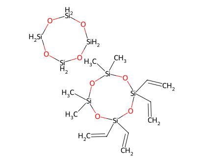 C=C[Si]1(C=C)O[Si](C)(C)O[Si](C)(C)O[Si](C=C)(C=C)O1.O1[SiH2]O[SiH2]O[SiH2]O[SiH2]1